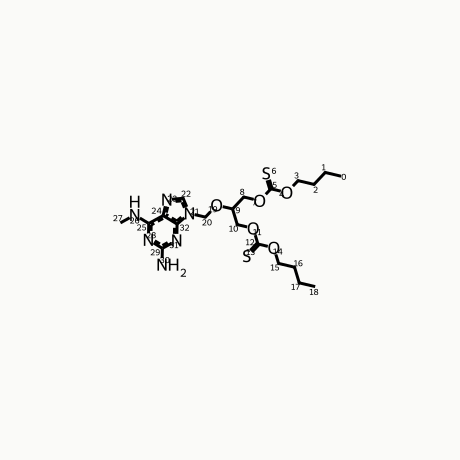 CCCCOC(=S)OCC(COC(=S)OCCCC)OCn1cnc2c(NC)nc(N)nc21